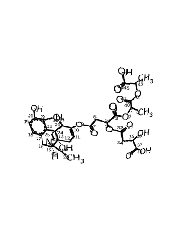 CC(OC(=O)C(CC(=O)OC1=CC[C@@]2(O)[C@H]3Cc4ccc(O)c5c4[C@@]2(CCN3C)[C@H]1O5)OC(=O)CC(O)C(=O)O)C(=O)O[C@@H](C)C(=O)O